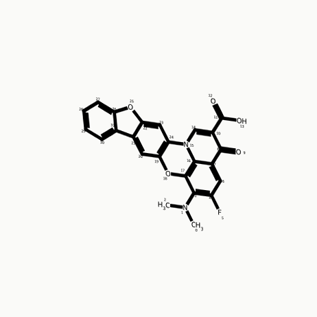 CN(C)c1c(F)cc2c(=O)c(C(=O)O)cn3c2c1Oc1cc2c(cc1-3)oc1ccccc12